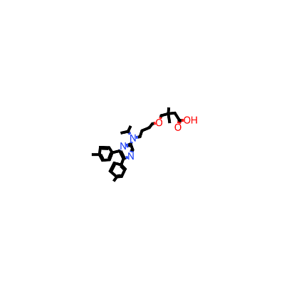 Cc1ccc(-c2ncc(N(CCCCOCC(C)(C)CC(=O)O)C(C)C)nc2-c2ccc(C)cc2)cc1